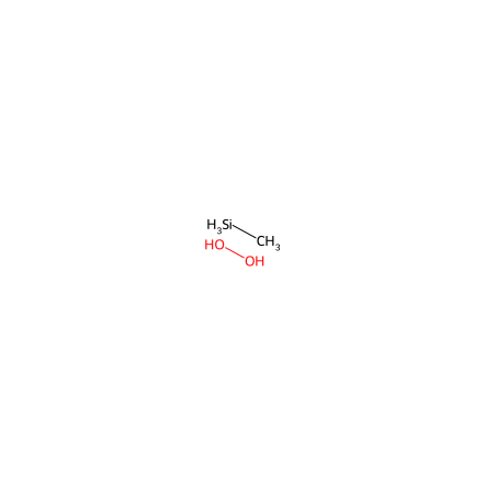 C[SiH3].OO